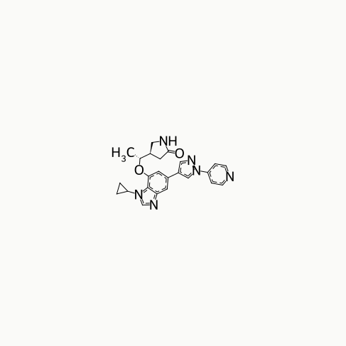 C[C@@H](Oc1cc(-c2cnn(-c3ccncc3)c2)cc2ncn(C3CC3)c12)[C@H]1CNC(=O)C1